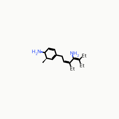 CCC(CC)=C(N)/C(=C\CC1=C[C@@H](C)C(N)C=C1)CC